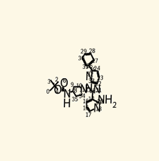 CC(C)(C)OC(=O)NC1CCN(n2c(-c3cccnc3N)nc3ccc(-c4ccccc4)nc32)CC1